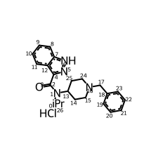 CC(C)N(C(=O)c1n[nH]c2ccccc12)C1CCN(Cc2ccccc2)CC1.Cl